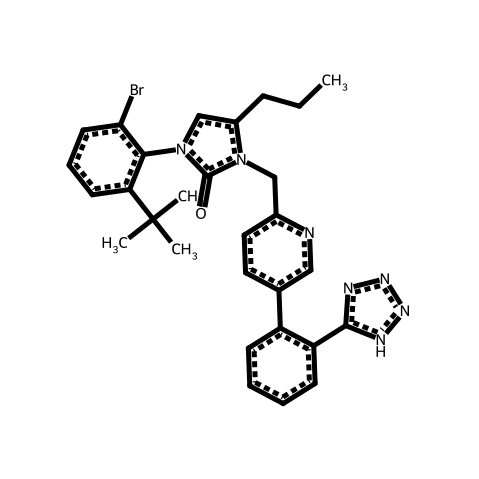 CCCc1cn(-c2c(Br)cccc2C(C)(C)C)c(=O)n1Cc1ccc(-c2ccccc2-c2nnn[nH]2)cn1